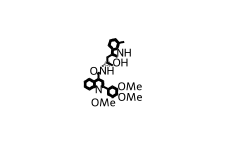 COc1cc(-c2cc(C(=O)NC[C@@H](CO)Cc3c[nH]c4c(C)cccc34)c3ccccc3n2)cc(OC)c1OC